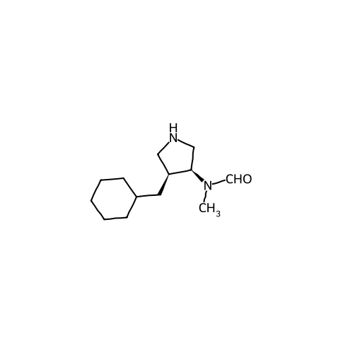 CN(C=O)[C@@H]1CNC[C@@H]1CC1CCCCC1